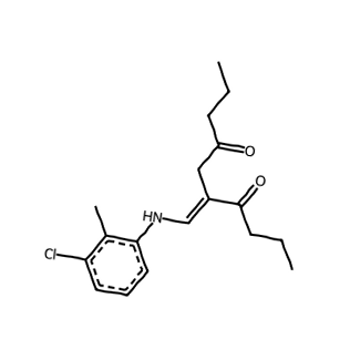 CCCC(=O)C/C(=C\Nc1cccc(Cl)c1C)C(=O)CCC